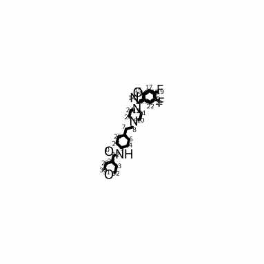 O=C(NC1CCC(CCN2CCN(c3noc4cc(F)c(F)cc34)CC2)CC1)C1CCOCC1